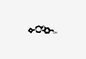 OCc1ccc2c(c1)nc1n2CCN(C2CCC2)CC1